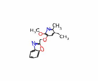 CCc1cc(OCc2nc3ccccc3o2)c(OC)nc1C